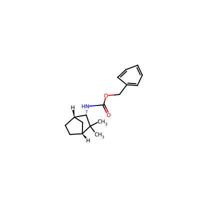 CC1(C)[C@@H]2CC[C@@H](C2)[C@@H]1NC(=O)OCc1ccccc1